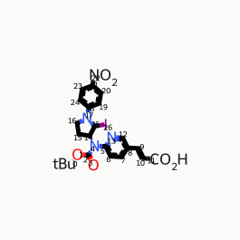 CC(C)(C)OC(=O)N(c1ccc(C=CC(=O)O)cn1)[C@@H]1CCN(c2ccc([N+](=O)[O-])cc2)C1I